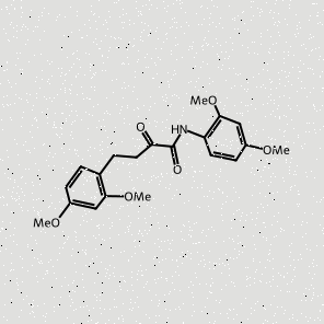 COc1ccc(CCC(=O)C(=O)Nc2ccc(OC)cc2OC)c(OC)c1